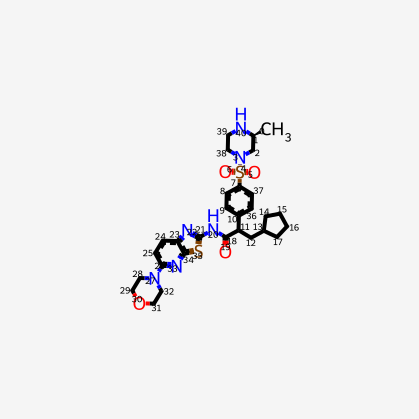 C[C@H]1CN(S(=O)(=O)c2ccc(C(CC3CCCC3)C(=O)Nc3nc4ccc(N5CCOCC5)nc4s3)cc2)CCN1